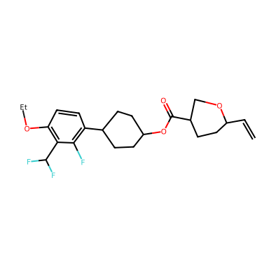 C=CC1CCC(C(=O)OC2CCC(c3ccc(OCC)c(C(F)F)c3F)CC2)CO1